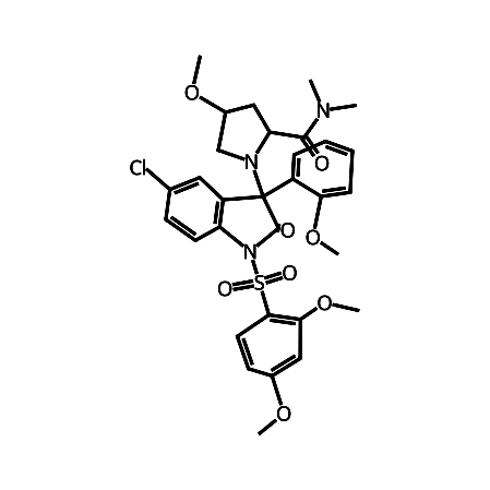 COc1ccc(S(=O)(=O)N2C(=O)C(c3ccccc3OC)(N3CC(OC)CC3C(=O)N(C)C)c3cc(Cl)ccc32)c(OC)c1